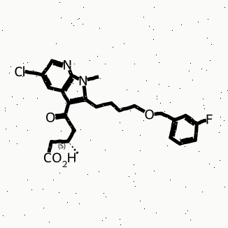 C[C@H](CC(=O)O)CC(=O)c1c(CCCCOCc2cccc(F)c2)n(C)c2ncc(Cl)cc12